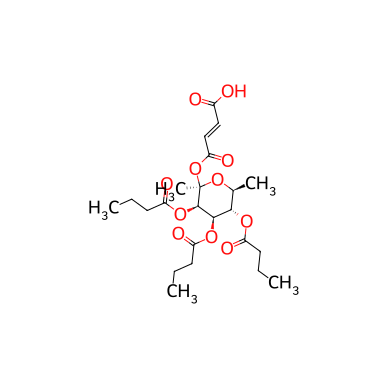 CCCC(=O)O[C@@H]1[C@@H](OC(=O)CCC)[C@@H](OC(=O)CCC)[C@@](C)(OC(=O)/C=C/C(=O)O)O[C@H]1C